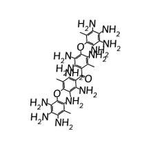 Cc1c(N)c(N)c(N)c(Oc2c(C)c(N)c(C(=O)c3c(C)c(N)c(Oc4c(C)c(N)c(N)c(N)c4N)c(N)c3N)c(N)c2C)c1N